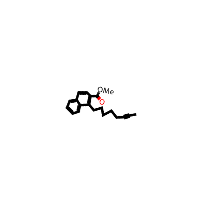 CC#CCCCCCc1c(C(=O)OC)ccc2ccccc12